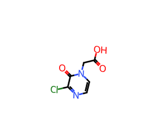 O=C(O)Cn1ccnc(Cl)c1=O